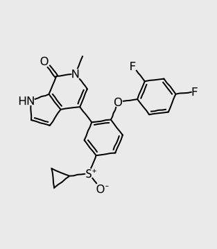 Cn1cc(-c2cc([S+]([O-])C3CC3)ccc2Oc2ccc(F)cc2F)c2cc[nH]c2c1=O